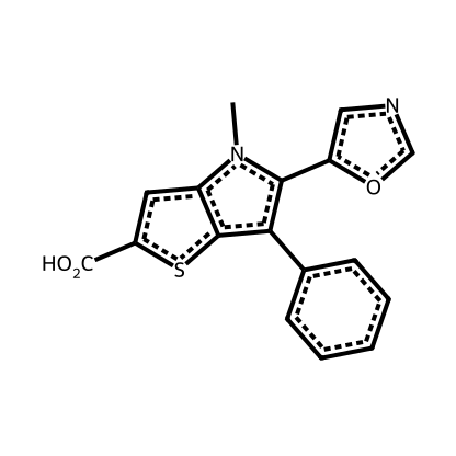 Cn1c(-c2cnco2)c(-c2ccccc2)c2sc(C(=O)O)cc21